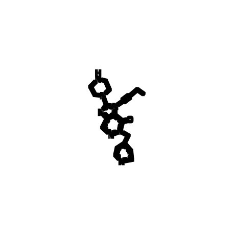 CCC#Cn1c(N2CCNCC2)nc2cnn(Cc3ccncc3)c(=O)c21